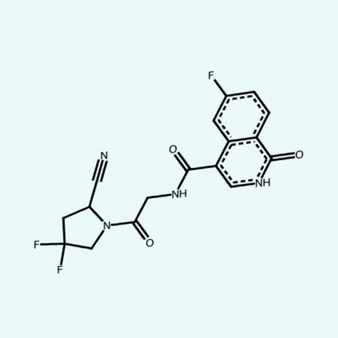 N#CC1CC(F)(F)CN1C(=O)CNC(=O)c1c[nH]c(=O)c2ccc(F)cc12